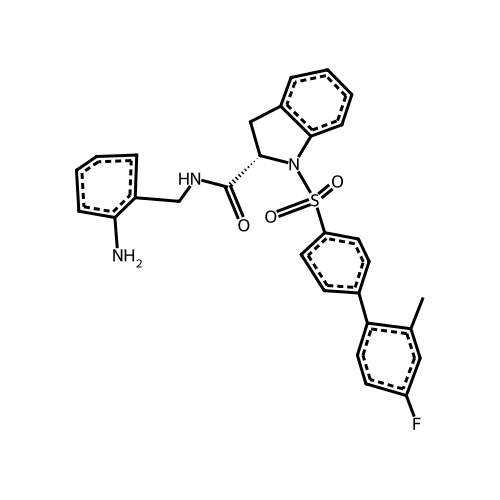 Cc1cc(F)ccc1-c1ccc(S(=O)(=O)N2c3ccccc3C[C@H]2C(=O)NCc2ccccc2N)cc1